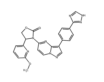 COc1cccc(C2COC(=O)N2c2ccn3ncc(-c4ccc(-c5nc[nH]n5)cc4)c3n2)n1